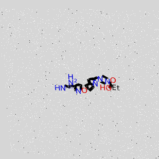 CC[C@H](O)C(=O)N1CCN(Cc2ccc3cc(Oc4ccc(/C(N)=C/C=N)cn4)ccc3n2)CC1